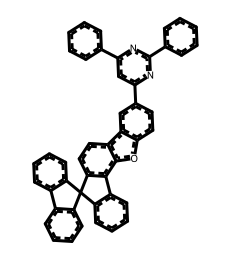 c1ccc(-c2cc(-c3ccc4oc5c6c(ccc5c4c3)C3(c4ccccc4-c4ccccc43)c3ccccc3-6)nc(-c3ccccc3)n2)cc1